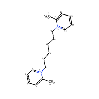 Cc1cccc[n+]1CCCCCC[n+]1ccccc1C